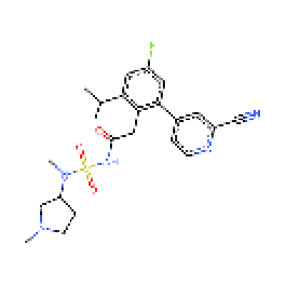 CC(C)c1cc(F)cc(-c2ccnc(C#N)c2)c1CC(=O)NS(=O)(=O)N(C)C1CCN(C)C1